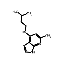 CC(C)CCNc1nc(N)nc2[nH]cnc12